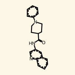 O=C(Nc1cnc2ccccc2c1)C1CCN(c2ccccc2)CC1